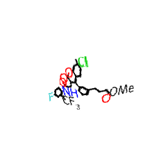 COC(=O)CCCc1cccc(C2=C3C=CC(C)(Cl)C=C3OC(=O)C2CC(=O)Nc2ccc(F)cc2C(F)(F)F)c1